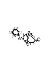 C[C@H]1CC(=O)C[C@H]2CCN(Cc3ccccc3)C[C@@H]21